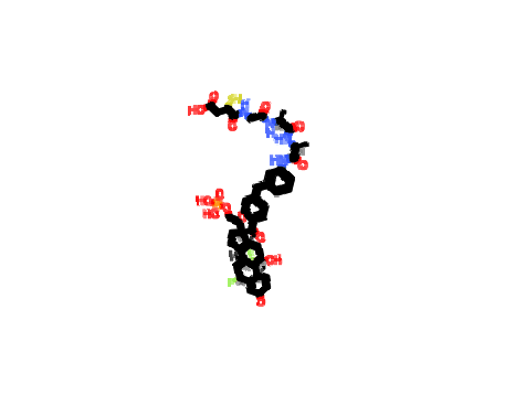 C[C@H](NC(=O)CNC(=O)C(S)CC(=O)O)C(=O)N[C@@H](C)C(=O)Nc1cccc(Cc2ccc(C(=O)[C@]3(C(=O)COP(=O)(O)O)CCC4[C@@H]5C[C@H](F)C6=CC(=O)C=C[C@]6(C)[C@@]5(F)[C@@H](O)C[C@@]43C)cc2)c1